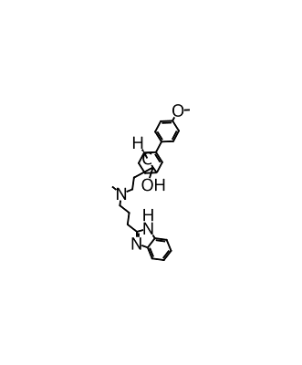 COc1ccc(C2=CC3CC[C@H]2CC3(O)CCN(C)CCCc2nc3ccccc3[nH]2)cc1